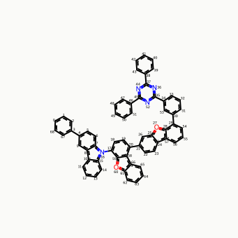 c1ccc(-c2ccc3c(c2)c2ccccc2n3-c2ccc(-c3ccc4c(c3)oc3c(-c5cccc(-c6nc(-c7ccccc7)nc(-c7ccccc7)n6)c5)cccc34)c3c2oc2ccccc23)cc1